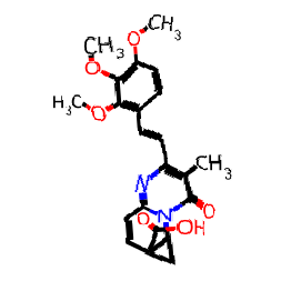 COc1ccc(/C=C/c2nc3n(c(=O)c2C)C2CC2(C(=O)O)C=C3)c(OC)c1OC